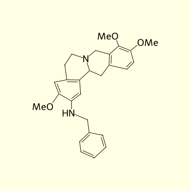 COc1cc2c(cc1NCc1ccccc1)C1Cc3ccc(OC)c(OC)c3CN1CC2